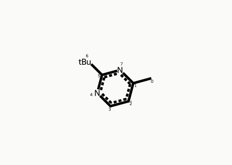 Cc1[c]cnc(C(C)(C)C)n1